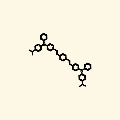 CC(C)c1ccc(N(c2ccccc2)c2ccc(/C=C/c3ccc(/C=C/c4ccc(N(c5ccccc5)c5ccc(C(C)C)cc5)cc4)cc3)cc2)cc1